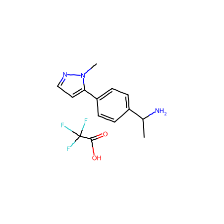 CC(N)c1ccc(-c2ccnn2C)cc1.O=C(O)C(F)(F)F